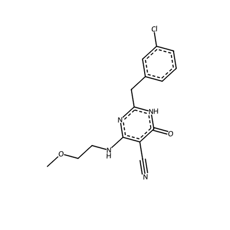 COCCNc1nc(Cc2cccc(Cl)c2)[nH]c(=O)c1C#N